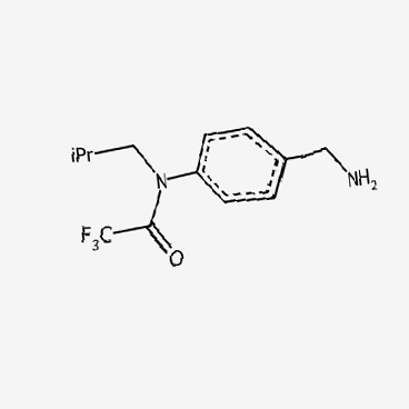 CC(C)CN(C(=O)C(F)(F)F)c1ccc(CN)cc1